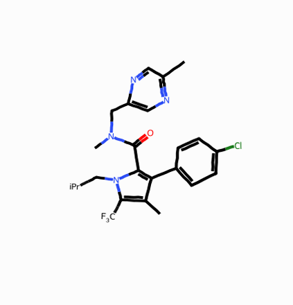 Cc1cnc(CN(C)C(=O)c2c(-c3ccc(Cl)cc3)c(C)c(C(F)(F)F)n2CC(C)C)cn1